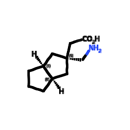 NC[C@]1(CC(=O)O)C[C@H]2CCC[C@H]2C1